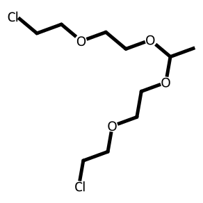 CC(OCCOCCCl)OCCOCCCl